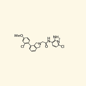 COc1ccc(-c2cccc3c2CN(CC(=O)Nc2ccc(Cl)nc2N)C3)c(Cl)c1